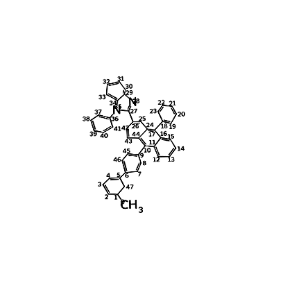 CC1C=CC=C(c2ccc(-c3c4ccccc4c(-c4ccccc4)c4cc(-c5nc6ccccc6n5-c5ccccc5)ccc34)cc2)C1